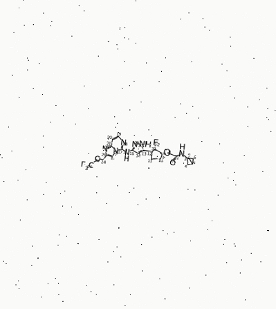 O=C(NC12CC(C1)C2)O[C@H]1CC[C@@H](c2cc(Nc3nccc4nc(COC(F)(F)F)cn34)n[nH]2)[C@@H]1F